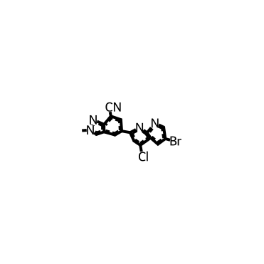 Cn1cc2cc(-c3cc(Cl)c4cc(Br)cnc4n3)cc(C#N)c2n1